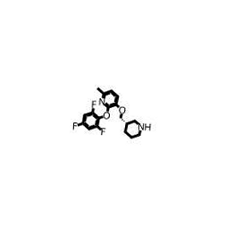 Cc1ccc(OC[C@H]2CCCNC2)c(Oc2c(F)cc(F)cc2F)n1